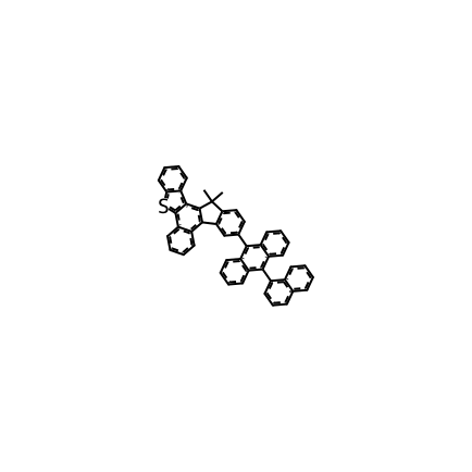 CC1(C)c2ccc(-c3c4ccccc4c(-c4cccc5ccccc45)c4ccccc34)cc2-c2c1c1c3ccccc3sc1c1ccccc21